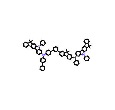 CC1(C)c2cc(-c3cccc(-c4ccc(N(c5ccc(-c6ccccc6)cc5)c5ccc6c7cc8c(cc7n(-c7ccccc7)c6c5)C(C)(C)c5ccccc5-8)cc4)c3)ccc2-c2ccc(N(c3ccccc3)c3ccc4c5cc6c(cc5n(-c5ccccc5)c4c3)C(C)(C)c3ccccc3-6)cc21